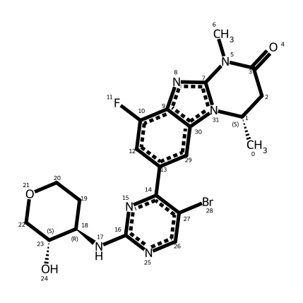 C[C@H]1CC(=O)N(C)c2nc3c(F)cc(-c4nc(N[C@@H]5CCOC[C@H]5O)ncc4Br)cc3n21